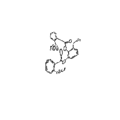 CCCCc1ccccc1C(=O)Oc1cccc(CC(C)C)c1OC(=O)c1ccccc1CCCC